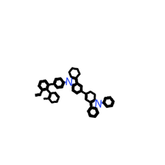 C=Cc1cccc(-c2ccc(-n3c4c(c5cc(C6=Cc7c(n(-c8ccccc8)c8ccccc78)CC6)ccc53)CCCC4)cc2)c1C1=C(C)CCC=C1